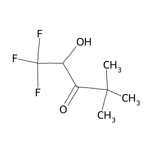 CC(C)(C)C(=O)C(O)C(F)(F)F